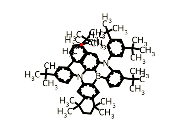 CC(C)(C)c1ccc(-c2cc(C(C)(C)C)ccc2N2c3cc4c(cc3B3c5ccc(C(C)(C)C)cc5N(c5cc(C(C)(C)C)cc(C(C)(C)C)c5)c5cc(C(C)(C)C)cc2c53)C(C)(C)CCC4(C)C)cc1